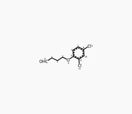 O=CCCCOc1ccc(Cl)cc1Cl